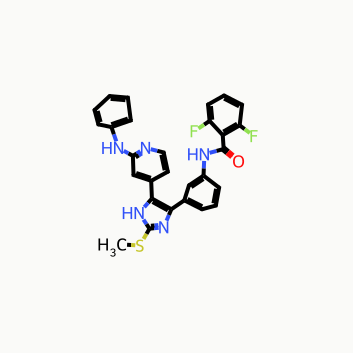 CSc1nc(-c2cccc(NC(=O)c3c(F)cccc3F)c2)c(-c2ccnc(Nc3ccccc3)c2)[nH]1